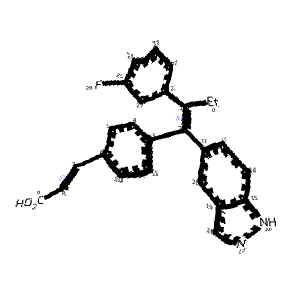 CC/C(=C(/c1ccc(/C=C/C(=O)O)cc1)c1ccc2[nH]ncc2c1)c1cccc(F)c1